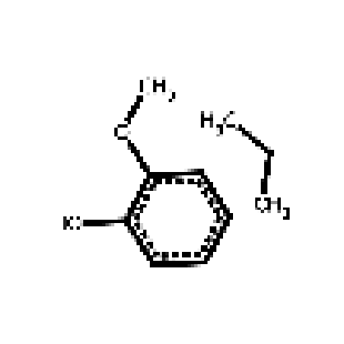 CCC.COc1ccccc1O